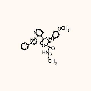 CCONC(=O)C(=O)[C@@H](Cc1ccc(OC)cc1)NC(=O)c1cccnc1-n1ccc(-c2ccccc2)n1